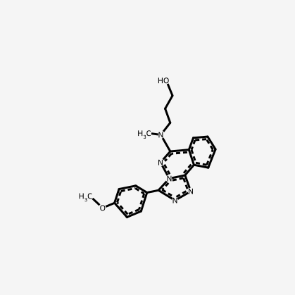 COc1ccc(-c2nnc3c4ccccc4c(N(C)CCCO)nn23)cc1